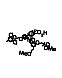 COCCCc1cc(CN(C(=O)[C@H]2CN(C(=O)O)CC[C@@H]2c2ccc(OCCOc3c(Cl)cc(C)cc3Cl)cc2)C2CC2)cc(OCCC(C)(C)C(=O)OC)c1